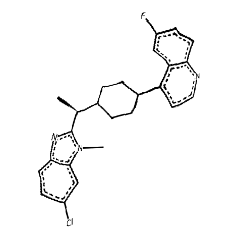 C[C@H](c1nc2ccc(Cl)cc2n1C)C1CCC(c2ccnc3ccc(F)cc23)CC1